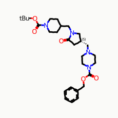 CC(C)(C)OC(=O)N1CCC(CN2C[C@H](CN3CCN(C(=O)OCc4ccccc4)CC3)CC2=O)CC1